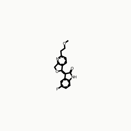 COCCc1ccc2c(n1)CO/C2=C1/C(=O)Nc2ccc(F)cc21